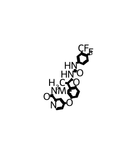 CNC(=O)c1cc(Oc2ccc3c(c2)C(C)[C@H](NC(=O)Nc2ccc(F)c(C(F)(F)F)c2)O3)ccn1